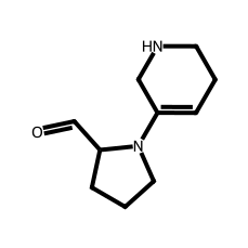 O=CC1CCCN1C1=CCCNC1